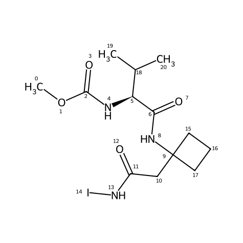 COC(=O)N[C@H](C(=O)NC1(CC(=O)NI)CCC1)C(C)C